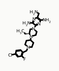 CC[C@H]1CN(c2nc(N)c(CN)nc2N)CCN1C1CCN(Cc2ccc(Cl)cc2F)CC1